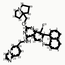 Fc1c(-c2cccc3cccc(F)c23)ncc2c(NCc3ccc4nccn4c3)nc(OCC34CCCN3CCC4)nc12